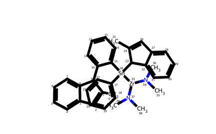 CC1=Cc2ccccc2C1c1cccc[c]1[Sn]([c]1ccccc1)([CH]1C(C)=Cc2ccccc21)[Zr]([N](C)C)[N](C)C